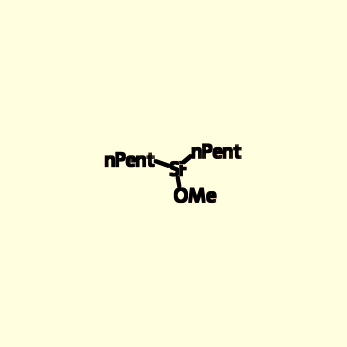 CCCCC[Si](CCCCC)OC